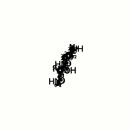 CC(C)NC(=O)COc1cc(F)cc([C@@H](CO)NC(=O)N2CCc3cc(-c4cn[nH]c4)c(F)cc32)c1